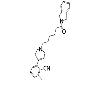 Cc1cccc(C2=CCN(CCCCCC(=O)N3Cc4ccccc4C3)CC2)c1C#N